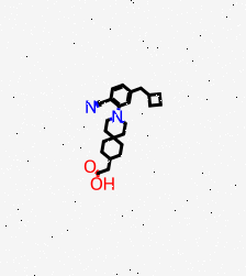 N#Cc1ccc(CC2CCC2)cc1N1CCC2(CCC(CC(=O)O)CC2)CC1